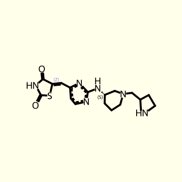 O=C1NC(=O)/C(=C/c2ccnc(N[C@H]3CCCN(CC4CCNC4)C3)n2)S1